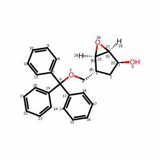 O[C@H]1C[C@H](COC(c2ccccc2)(c2ccccc2)c2ccccc2)[C@H]2O[C@H]21